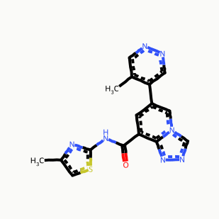 Cc1csc(NC(=O)c2cc(-c3cnncc3C)cn3cnnc23)n1